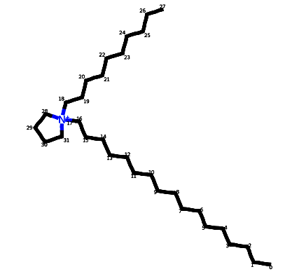 CCCCCCCCCCCCCCCCC[N+]1(CCCCCCCCCC)CCCC1